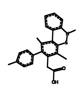 Cc1ccc(-c2c(C)c3c(c(C)c2CC(=O)O)SN(C)c2ccccc2-3)cc1